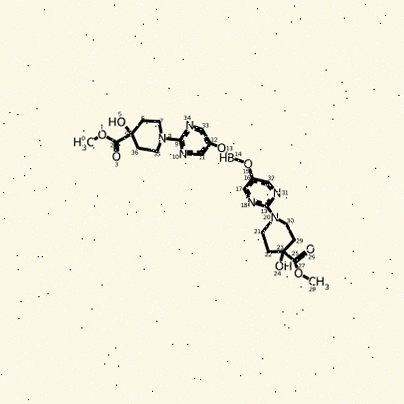 COC(=O)C1(O)CCN(c2ncc(OBOc3cnc(N4CCC(O)(C(=O)OC)CC4)nc3)cn2)CC1